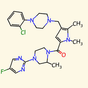 Cc1c(CN2CCN(c3ccccc3Cl)CC2)cc(C(=O)N2CCN(c3ncc(F)cn3)CC2C)n1C